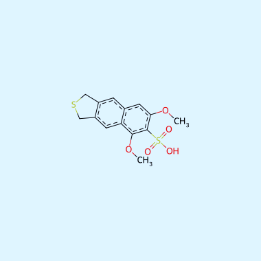 COc1cc2cc3c(cc2c(OC)c1S(=O)(=O)O)CSC3